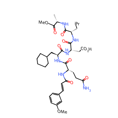 COC(=O)[C@H](C)NC(=O)[C@H](CC(C)C)NC(=O)[C@H](CC(=O)O)NC(=O)[C@H](CC1CCCCC1)NC(=O)[C@H](CCC(N)=O)NC(=O)/C=C/c1cccc(OC)c1